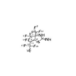 N=C1NC(C(F)(F)F)(C(F)(F)F)C(=C(F)C(F)(F)F)S1